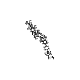 CCCC1COC(C2CCC(c3ccc(C(F)(F)Oc4cc(F)c(C(F)(F)Oc5cc(F)c(OC=C(F)F)c(F)c5)c(F)c4)c(F)c3)CC2)OC1